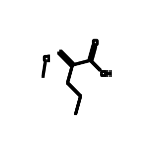 C=C(CCC)C(=O)O.CCl